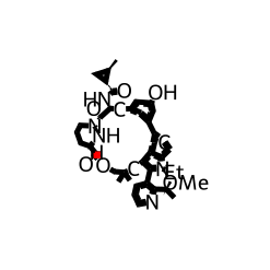 CCn1c(-c2cccnc2[C@H](C)OC)c2c3cc(ccc31)-c1cc(O)cc(c1)C[C@H](NC(=O)[C@@H]1C[C@H]1C)C(=O)N1CCC[C@H](N1)C(=O)OCC(C)(C)C2